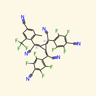 Cc1cc(C#N)cc(C(F)(F)F)c1/C(C#N)=C1/C(=C(C#N)c2c(F)c(F)c(C#N)c(F)c2F)/C1=C(/C#N)c1c(F)c(F)c(C#N)c(F)c1F